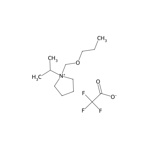 CCCOC[N+]1(C(C)C)CCCC1.O=C([O-])C(F)(F)F